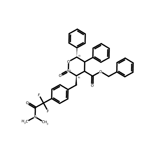 CN(C)C(=O)C(F)(F)c1ccc(C[C@@H]2C(C(=O)OCc3ccccc3)C(c3ccccc3)[C@@H](c3ccccc3)O[N+]2=O)cc1